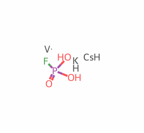 O=P(O)(O)F.[CsH].[KH].[V]